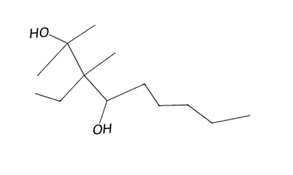 CCCCCC(O)C(C)(CC)C(C)(C)O